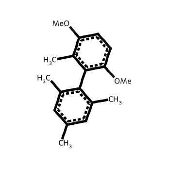 COc1ccc(OC)c(-c2c(C)cc(C)cc2C)c1C